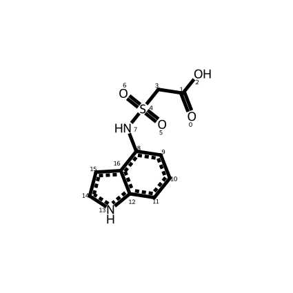 O=C(O)CS(=O)(=O)Nc1cccc2[nH]ccc12